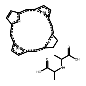 C1=Cc2cc3ccc(cc4nc(cc5ccc(cc1n2)[nH]5)CC4)[nH]3.CC(NC(C)C(=O)O)C(=O)O